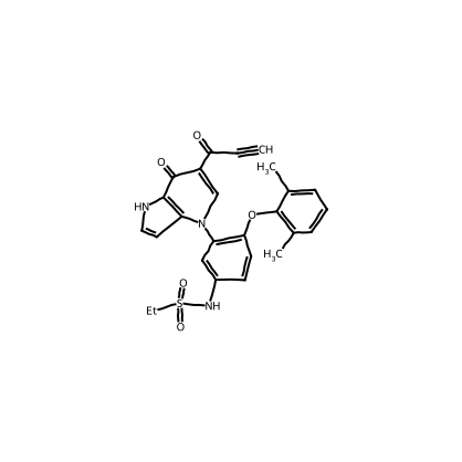 C#CC(=O)c1cn(-c2cc(NS(=O)(=O)CC)ccc2Oc2c(C)cccc2C)c2cc[nH]c2c1=O